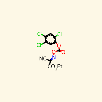 CCOC(=O)C(C#N)=NOC(=O)Oc1cc(Cl)c(Cl)cc1Cl